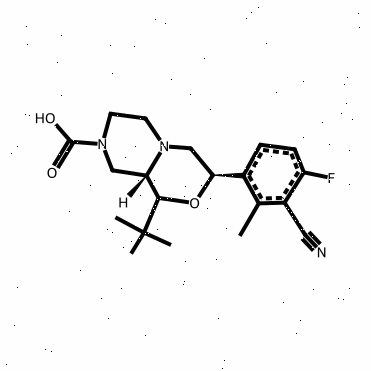 Cc1c([C@@H]2CN3CCN(C(=O)O)C[C@H]3C(C(C)(C)C)O2)ccc(F)c1C#N